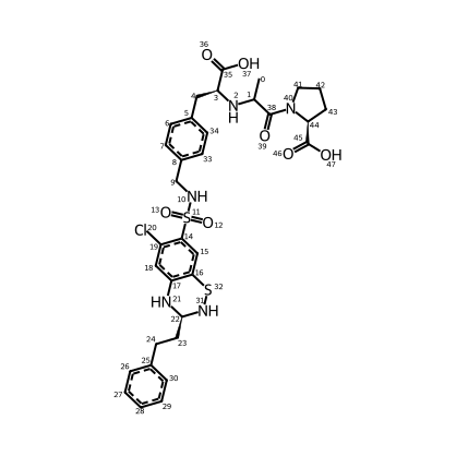 CC(N[C@@H](Cc1ccc(CNS(=O)(=O)c2cc3c(cc2Cl)N[C@H](CCc2ccccc2)NS3)cc1)C(=O)O)C(=O)N1CCC[C@H]1C(=O)O